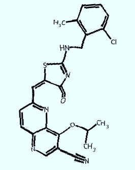 Cc1cccc(Cl)c1CNC1=NC(=O)C(=Cc2ccc3ncc(C#N)c(OC(C)C)c3n2)S1